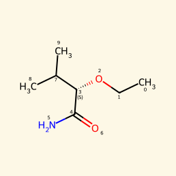 CCO[C@H](C(N)=O)C(C)C